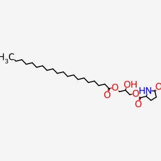 CCCCCCCCCCCCCCCCCCCC(=O)OCC(O)COC(=O)C1CCC(=O)N1